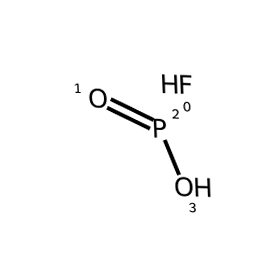 F.O=PO